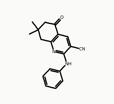 CC1(C)CC(=O)c2cc(C#N)c(Nc3ccccc3)nc2C1